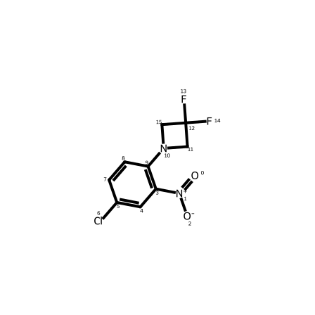 O=[N+]([O-])c1cc(Cl)ccc1N1CC(F)(F)C1